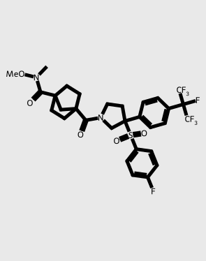 CON(C)C(=O)C12CCC(C(=O)N3CCC(c4ccc(C(F)(C(F)(F)F)C(F)(F)F)cc4)(S(=O)(=O)c4ccc(F)cc4)C3)(CC1)C2